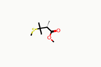 COC(=O)[C@@H](C)C(C)(C)SC